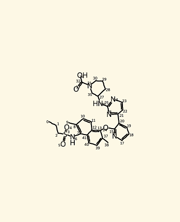 CCCS(=O)(=O)Nc1c(C)ccc2c(Oc3ncccc3-c3ccnc(NC4CCCN(C(=O)O)C4)n3)c(C)ccc12